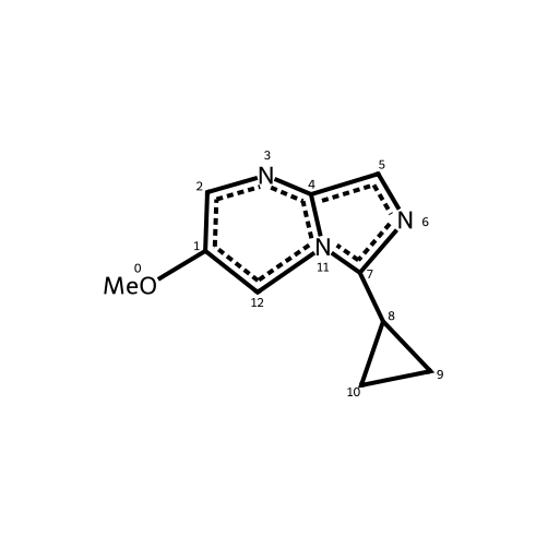 COc1cnc2cnc(C3CC3)n2c1